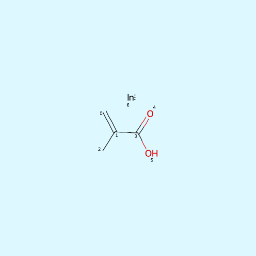 C=C(C)C(=O)O.[In]